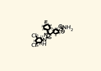 NS(=O)(=O)c1ccc(-c2sc(Nc3cc(Cl)cc(Cl)c3)nc2-c2ccc(F)cc2)cc1